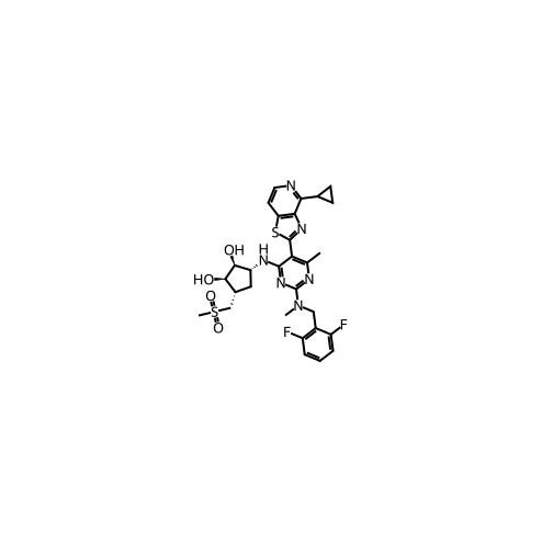 Cc1nc(N(C)Cc2c(F)cccc2F)nc(N[C@@H]2C[C@H](CS(C)(=O)=O)[C@@H](O)[C@H]2O)c1-c1nc2c(C3CC3)nccc2s1